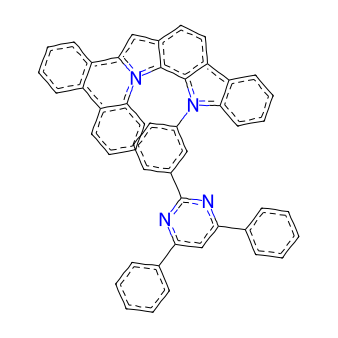 c1ccc(-c2cc(-c3ccccc3)nc(-c3cccc(-n4c5ccccc5c5ccc6cc7c8ccccc8c8ccccc8n7c6c54)c3)n2)cc1